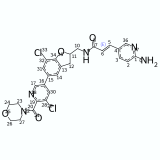 Nc1ccc(/C=C/C(=O)NCC2Cc3cc(-c4cnc(C(=O)N5CCOCC5)c(Cl)c4)cc(Cl)c3O2)cn1